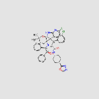 CC1(C)CCC2(CC1)N([C@H](c1ccccc1)[C@@H](O)c1ccccc1)[C@@H](C(=O)N[C@H]1CC[C@H](c3nnco3)CC1)[C@H](c1cccc(Cl)c1)C21C(=O)Nc2nc(Cl)ccc21